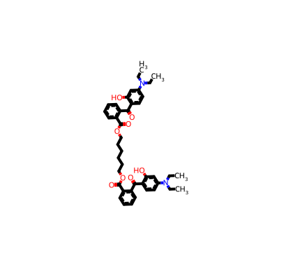 CCN(CC)c1ccc(C(=O)c2ccccc2C(=O)OCCCCCCOC(=O)c2ccccc2C(=O)c2ccc(N(CC)CC)cc2O)c(O)c1